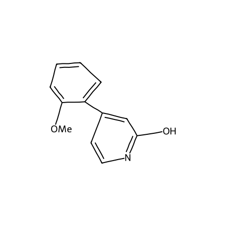 COc1ccccc1-c1ccnc(O)c1